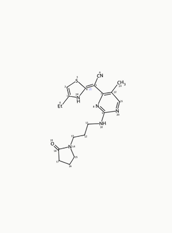 CCC1=CS/C(=C(\C#N)c2nc(NCCCN3CCCC3=O)ncc2C)N1